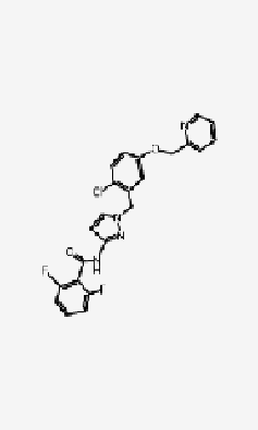 O=C(Nc1ccn(Cc2cc(OCc3ccccn3)ccc2Cl)n1)c1c(F)cccc1F